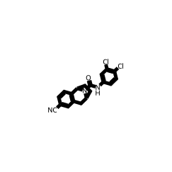 N#Cc1ccc2c(c1)CC1CCC2N1C(=O)Nc1ccc(Cl)c(Cl)c1